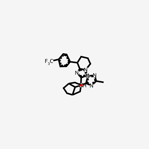 Cc1noc(N2CC3CCC(C2)C3Nc2nc3n(n2)CCCC3c2ccc(C(F)(F)F)cc2)n1